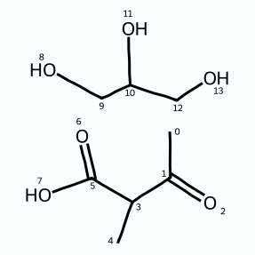 CC(=O)C(C)C(=O)O.OCC(O)CO